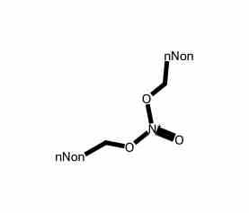 CCCCCCCCCCO[N+](=O)OCCCCCCCCCC